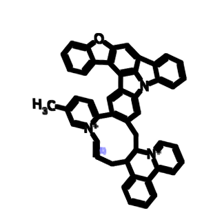 Cc1ccc2[n+](c1)/C=C/CC1c3ccccc3-c3cccc[n+]3C1Cc1cc3c(cc1-2)c1c2c(cc4c5ccccc5n3c41)oc1ccccc12